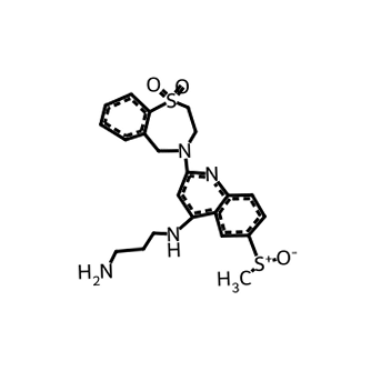 C[S+]([O-])c1ccc2nc(N3CCS(=O)(=O)c4ccccc4C3)cc(NCCCN)c2c1